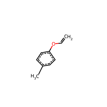 C=COc1ccc(C)cc1